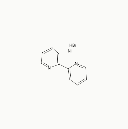 Br.[Ni].c1ccc(-c2ccccn2)nc1